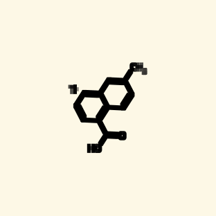 Cc1ccc2c(C(=O)O)cccc2c1.[Tl]